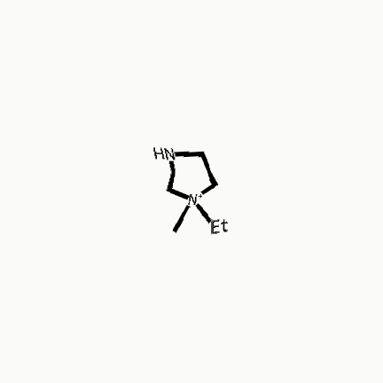 CC[N+]1(C)CCNC1